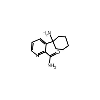 NC(=O)c1ncccc1C1(N)CCCCC1